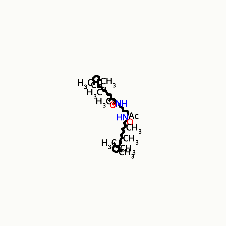 CC(=O)[C@@H](CCCCNC(=O)/C=C(C)/C=C/C=C(C)/C=C/C1=C(C)CCCC1(C)C)NC(=O)/C=C(C)/C=C/C=C(C)/C=C/C1=C(C)CCCC1(C)C